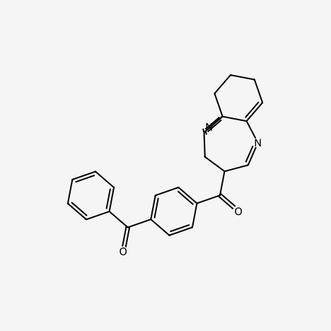 O=C(c1ccccc1)c1ccc(C(=O)C2C=NC3=CCCCC34CC=CN=C4C2)cc1